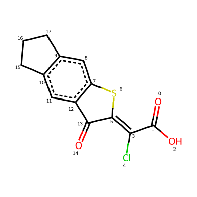 O=C(O)C(Cl)=C1Sc2cc3c(cc2C1=O)CCC3